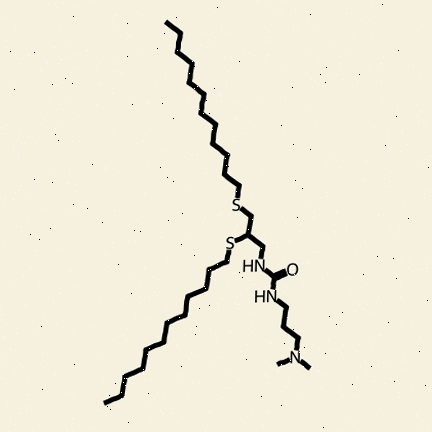 CCCCCCCCCCCCSCC(CNC(=O)NCCCN(C)C)SCCCCCCCCCCCC